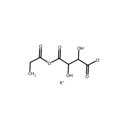 CCC(=O)OC(=O)C(O)C(O)C(=O)[O-].[K+]